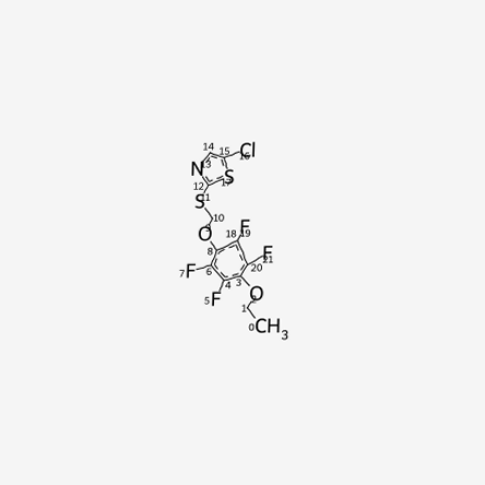 CCOc1c(F)c(F)c(OCSc2ncc(Cl)s2)c(F)c1F